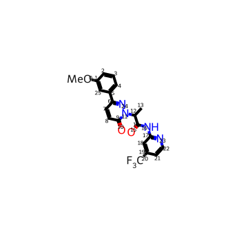 COc1cccc(-c2ccc(=O)n(C(C)C(=O)Nc3cc(C(F)(F)F)ccn3)n2)c1